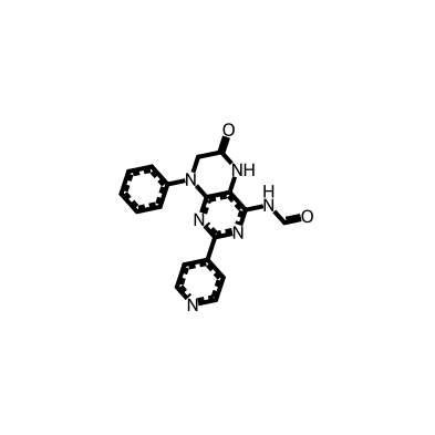 O=CNc1nc(-c2ccncc2)nc2c1NC(=O)CN2c1ccccc1